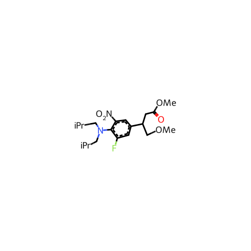 COCC(CC(=O)OC)c1cc(F)c(N(CC(C)C)CC(C)C)c([N+](=O)[O-])c1